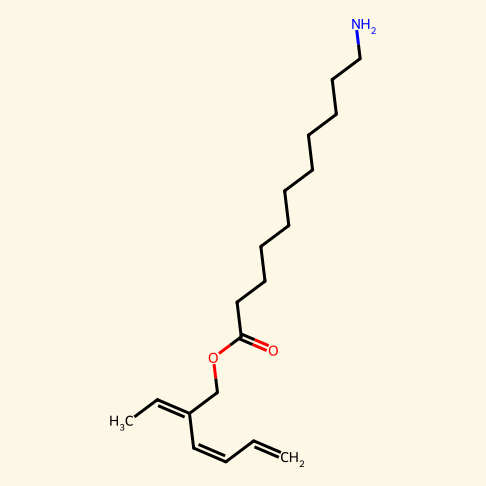 C=C/C=C\C(=C/C)COC(=O)CCCCCCCCCCN